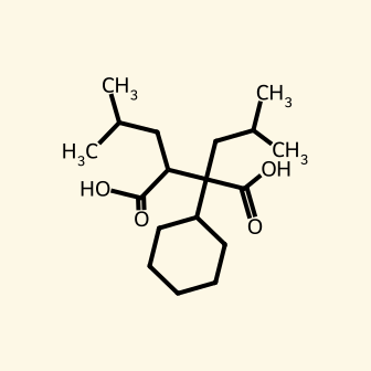 CC(C)CC(C(=O)O)C(CC(C)C)(C(=O)O)C1CCCCC1